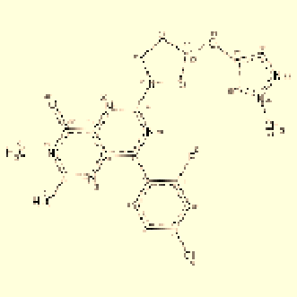 Cc1nc2c(-c3ccc(Cl)cc3F)nc(N3CC[C@H](Oc4cnn(C)c4)C3)nc2c(=O)n1C